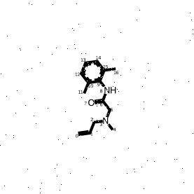 C=CCN(C)CC(=O)Nc1c(C)cccc1C